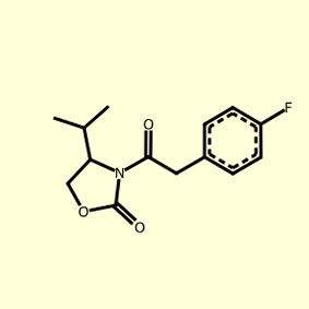 CC(C)C1COC(=O)N1C(=O)Cc1ccc(F)cc1